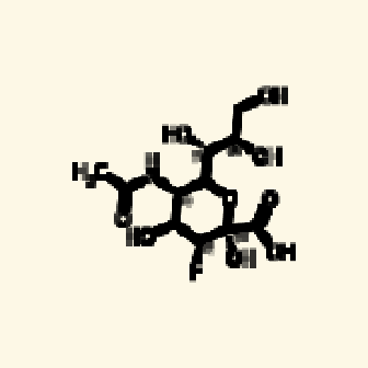 CC(=O)N[C@H]1C([C@H](O)[C@H](O)CO)O[C@@](O)(C(=O)O)[C@@H](F)C1O